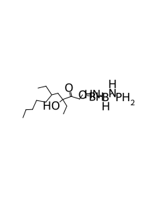 CCCCCC(CC)CC(O)(CC)C(=O)COBNBNP